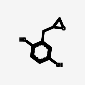 Oc1ccc(O)c(CC2CO2)c1